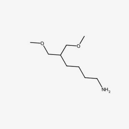 COCC(CCCCN)COC